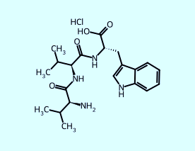 CC(C)[C@H](N)C(=O)N[C@H](C(=O)N[C@@H](Cc1c[nH]c2ccccc12)C(=O)O)C(C)C.Cl